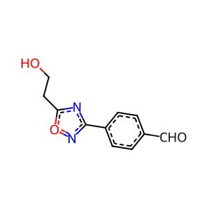 O=Cc1ccc(-c2noc(CCO)n2)cc1